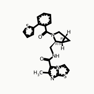 Cc1nc2sccn2c1C(=O)NC[C@@H]1[C@H]2C[C@H]2CN1C(=O)c1ccccc1-c1cccs1